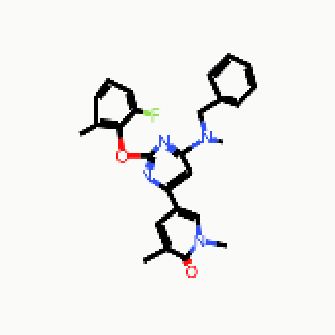 Cc1cccc(F)c1Oc1nc(-c2cc(C)c(=O)n(C)c2)cc(N(C)Cc2ccccc2)n1